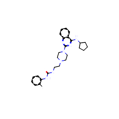 Cc1ccccc1NC(=O)NCCN1CCN(c2nc(NC3CCCC3)c3ccccc3n2)CC1